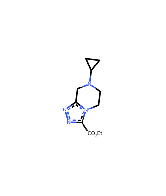 CCOC(=O)c1nnc2n1CCN(C1CC1)C2